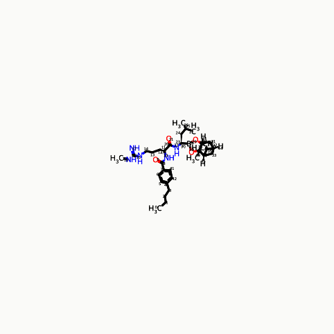 CCCCc1ccc(C(=O)N[C@@H](CCCNC(=N)NC)C(=O)N[C@@H](CC(C)C)B2O[C@@H]3C[C@@H]4C[C@@H](C4(C)C)[C@]3(C)O2)cc1